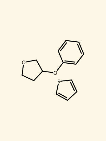 [c]1ccc(OC2CCOC2)cc1.[c]1cccs1